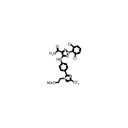 COCCn1cc(C(F)(F)F)nc1-c1ccc(Nc2nn(-c3c(Cl)cccc3Cl)nc2C(N)=O)cc1